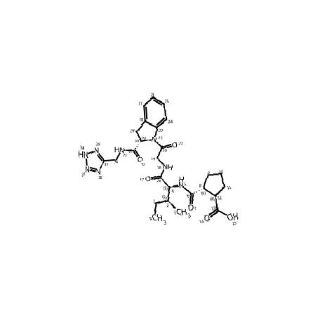 CC[C@H](C)[C@H](NC(=O)[C@@H]1CCC[C@H]1C(=O)O)C(=O)NCC(=O)N1c2ccccc2C[C@H]1C(=O)NCc1nn[nH]n1